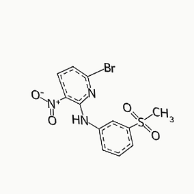 CS(=O)(=O)c1cccc(Nc2nc(Br)ccc2[N+](=O)[O-])c1